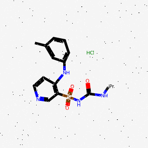 Cc1cccc(Nc2ccncc2S(=O)(=O)NC(=O)NC(C)C)c1.Cl